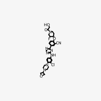 N#Cc1cc(-c2ncnc(Nc3ccc(N4CCN(C5COC5)CC4)c(Cl)c3)n2)ccc1O[C@H]1CCN(C(=O)CO)CC1F